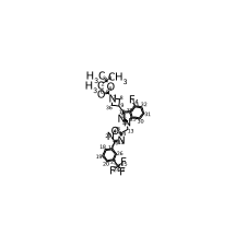 CC(C)(C)OC(=O)N1CC(c2nn(Cc3nc(-c4cccc(C(F)(F)F)c4)no3)c3cccc(F)c23)C1